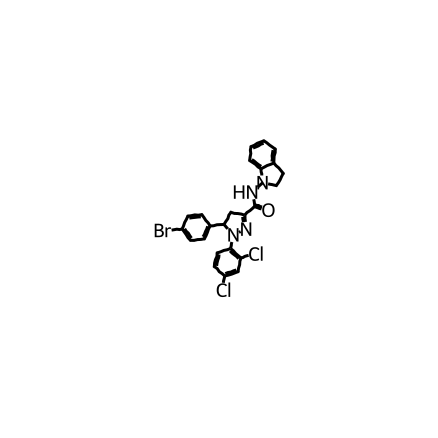 O=C(NN1CCc2ccccc21)C1=NN(c2ccc(Cl)cc2Cl)C(c2ccc(Br)cc2)C1